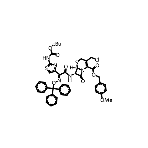 COc1ccc(COC(=O)C2=C(CCl)CS[C@H]3[C@H](NC(=O)C(=NOC(c4ccccc4)(c4ccccc4)c4ccccc4)c4csc(NC(=O)OC(C)(C)C)n4)C(=O)N23)cc1